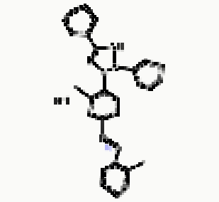 Cc1ccccc1/N=N/c1ccc(N2N=C(c3ccccc3)NN2c2ccccc2)c(C)c1.Cl